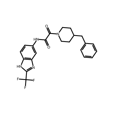 O=C(Nc1ccc2[nH]c(C(F)(F)F)nc2c1)C(=O)N1CCC(Cc2ccccc2)CC1